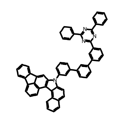 C1=CC(c2nc(-c3ccccc3)nc(-c3cccc(-c4cccc(-c5cccc(-n6c7ccc8ccccc8c7c7c8cccc9c8c(cc76)-c6ccccc6-9)c5)c4)c3)n2)=CCC1